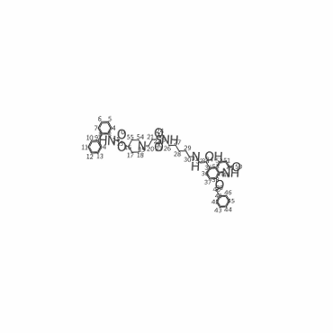 O=C(Nc1ccccc1-c1ccccc1)OC1CCN(CCS(=O)(=O)NCCCCCNCC(O)c2ccc(OCc3ccccc3)c3[nH]c(=O)ccc23)CC1